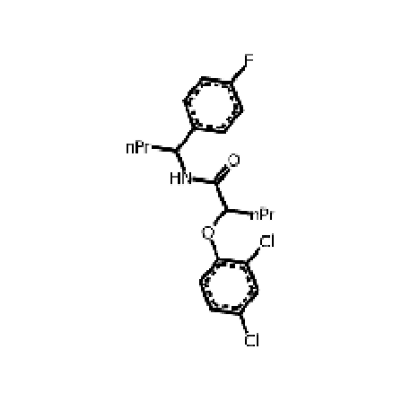 CCCC(Oc1ccc(Cl)cc1Cl)C(=O)NC(CCC)c1ccc(F)cc1